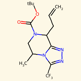 C=CCC1c2nnc(C(F)(F)F)n2C(C)CN1C(=O)OC(C)(C)C